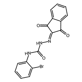 O=C(NN=c1c(=O)c2ccccc2c1=O)Nc1ccccc1Br